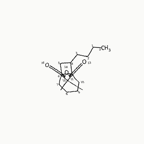 CCCCC1CC23CCCCC12C(=O)OC3=O